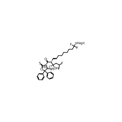 CCCCCCCC(F)(F)CCCCCCC=C[C@H](C(=O)N1C(=S)OC(c2ccccc2)(c2ccccc2)[C@@H]1C(C)C)[C@@](O)(CC(F)F)C(=O)O